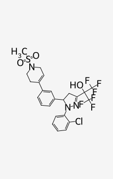 CS(=O)(=O)N1CC=C(c2cccc(C3CC(C(O)(C(F)(F)F)C(F)(F)F)=NN3c3ccccc3Cl)c2)CC1